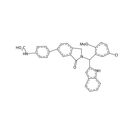 COc1ccc(Cl)cc1C(c1cc2ccccc2[nH]1)N1Cc2ccc(-c3ccc(NC(=O)O)cc3)cc2C1=O